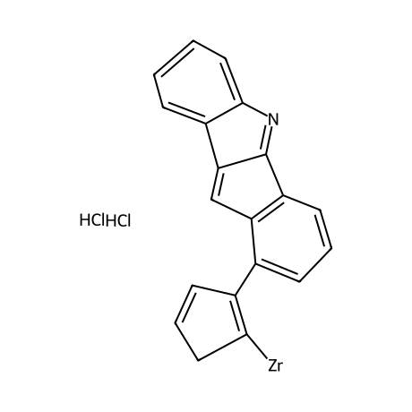 Cl.Cl.[Zr][C]1=C(c2cccc3c2C=C2C3=Nc3ccccc32)C=CC1